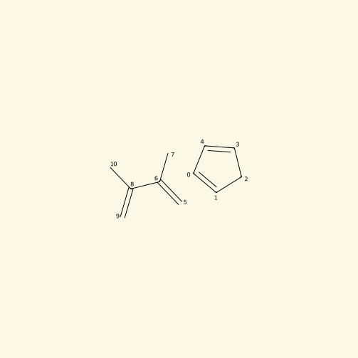 C1=CCC=C1.C=C(C)C(=C)C